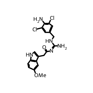 COc1ccc2[nH]cc(CC(=O)/N=C(/N)NCc3cc(Cl)c(N)c(Cl)c3)c2c1